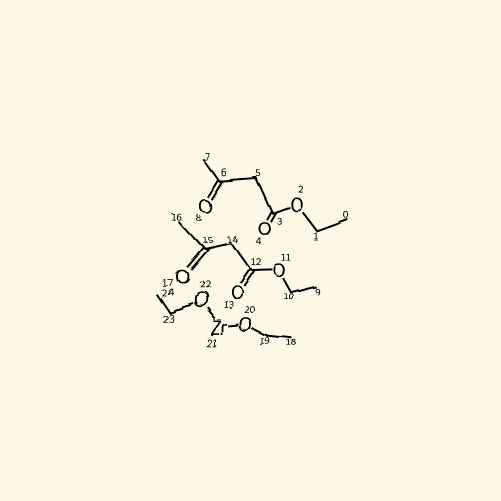 CCOC(=O)CC(C)=O.CCOC(=O)CC(C)=O.CC[O][Zr][O]CC